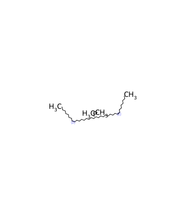 CCCCCCCC/C=C\CCCCCCCCC(CCCCCCCC/C=C\CCCCCCCC)P(C)C